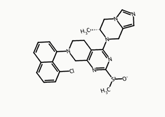 C[C@@H]1Cn2cncc2CN1c1nc([S+](C)[O-])nc2c1CCN(c1cccc3cccc(Cl)c13)C2